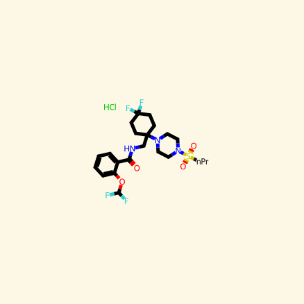 CCCS(=O)(=O)N1CCN(C2(CNC(=O)c3ccccc3OC(F)F)CCC(F)(F)CC2)CC1.Cl